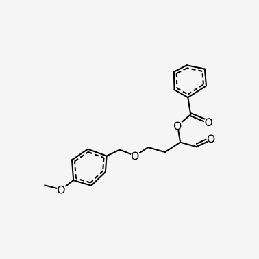 COc1ccc(COCCC(C=O)OC(=O)c2ccccc2)cc1